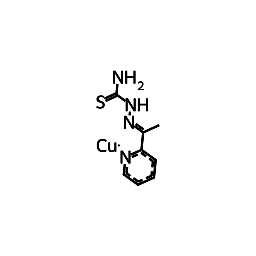 CC(=NNC(N)=S)c1ccccn1.[Cu]